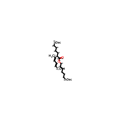 C/C=C/C=C/C(=O)O.CCCCCCCCCCCCCCCCOC(=O)CCCCCCCCCCCCCCC